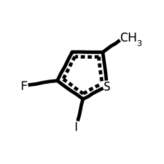 Cc1cc(F)c(I)s1